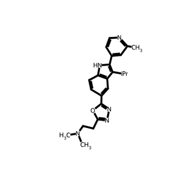 Cc1cc(-c2[nH]c3ccc(-c4nnc(CCN(C)C)o4)cc3c2C(C)C)ccn1